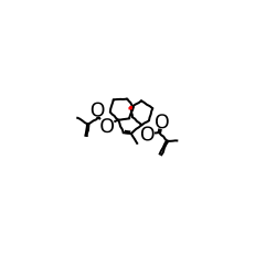 C=C(C)C(=O)OC1(/C=C(/C)C2(OC(=O)C(=C)C)CCCCC2)CCCCC1